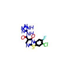 O=C(Nc1nnn[nH]1)c1cnc2sc3cc(Cl)c(F)cc3n2c1=O